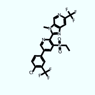 CCS(=O)(=O)c1cc(-c2ccc(Cl)c(C(F)(F)F)c2)cnc1-c1nc2cc(C(F)(F)F)ncc2n1C